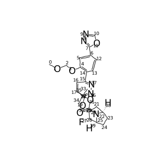 COCOc1cc(-c2nnco2)ccc1-c1ccc(O[C@@H]2C[C@H]3CC[C@@H]([C@@H]2F)N3C(=O)OC(C)(C)C)nn1